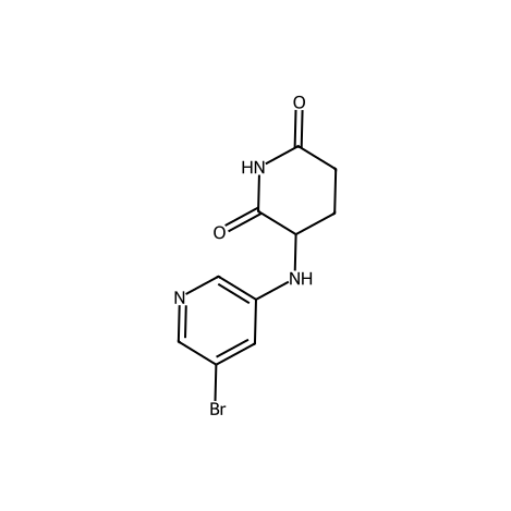 O=C1CCC(Nc2cncc(Br)c2)C(=O)N1